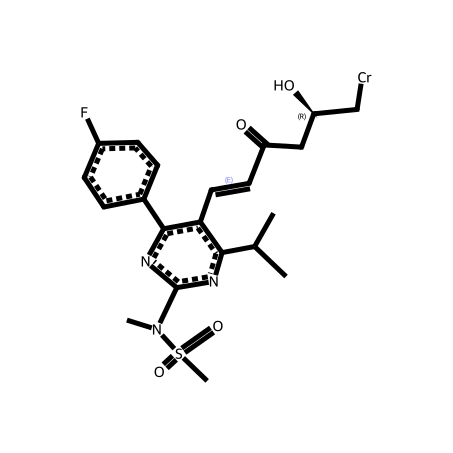 CC(C)c1nc(N(C)S(C)(=O)=O)nc(-c2ccc(F)cc2)c1/C=C/C(=O)C[C@@H](O)[CH2][Cr]